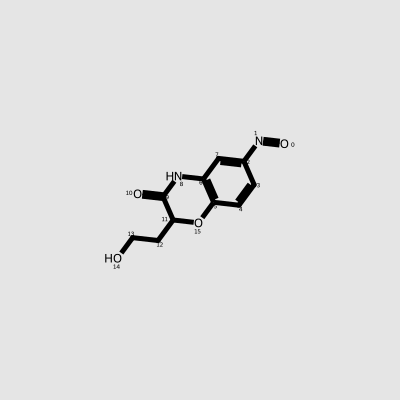 O=Nc1ccc2c(c1)NC(=O)C(CCO)O2